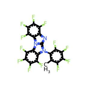 Cc1c(F)c(F)c(F)c(F)c1-n1c2c(F)c(F)c(F)c(F)c2n2c3c(F)c(F)c(F)c(F)c3nc12